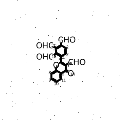 O=Cc1ccc(-c2oc3ccccc3c(=O)c2C=O)c(C=O)c1C=O